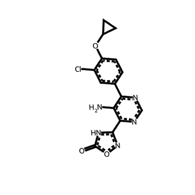 Nc1c(-c2ccc(OC3CC3)c(Cl)c2)ncnc1-c1noc(=O)[nH]1